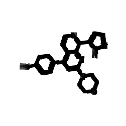 Sc1ccc(-c2cc(N3CCOCC3)nc3c(-c4ccn[nH]4)nccc23)cc1